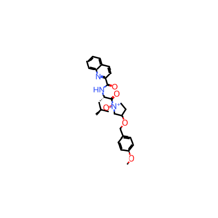 COc1ccc(COC2CC[N+]([O-])(C(=O)[C@H](CC(C)C)NC(=O)c3ccc4ccccc4n3)C2)cc1